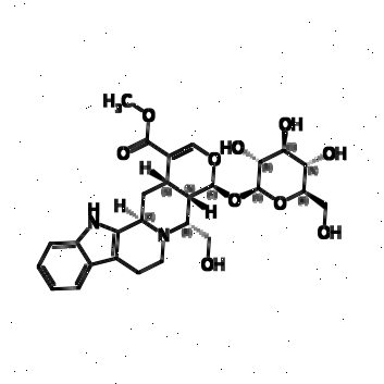 COC(=O)C1=CO[C@@H](O[C@@H]2O[C@H](CO)[C@@H](O)[C@H](O)[C@H]2O)[C@H]2[C@@H]1C[C@@H]1c3[nH]c4ccccc4c3CCN1[C@H]2CO